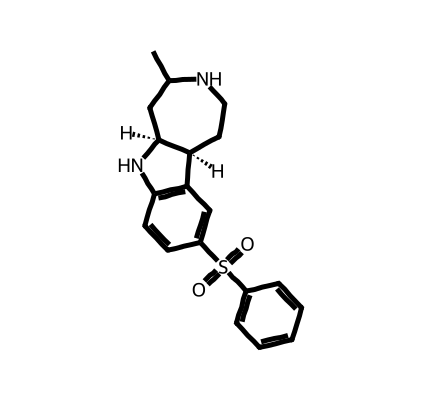 CC1C[C@@H]2Nc3ccc(S(=O)(=O)c4ccccc4)cc3[C@@H]2CCN1